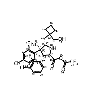 N#C[C@]1(c2ccc(Cl)cc2F)[C@H](CC2(CO)CCC2)N[C@@H](C(=O)OC(=O)C(F)(F)F)[C@@H]1c1cccc(Cl)c1F